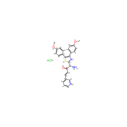 COc1ccc(-c2nc(C(N)C(=O)C=Cc3cccnc3)sc2-c2ccc(OC)cc2)cc1.Cl